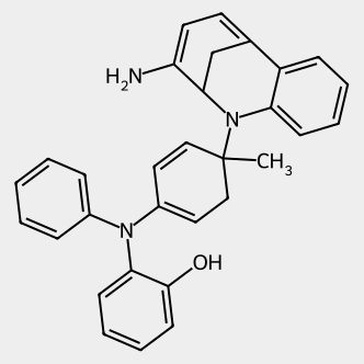 CC1(N2c3ccccc3C3=CC=C(N)C2C3)C=CC(N(c2ccccc2)c2ccccc2O)=CC1